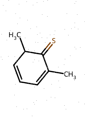 CC1=CC=CC(C)C1=S